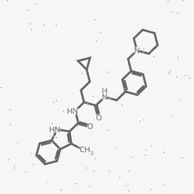 Cc1c(C(=O)NC(CCC2CC2)C(=O)NCc2cccc(CN3CCCCC3)c2)[nH]c2ccccc12